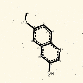 COc1ccc2ncc(O)cc2c1